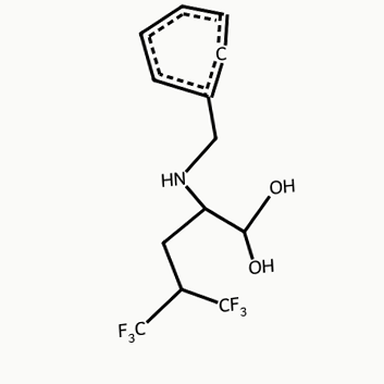 OC(O)C(CC(C(F)(F)F)C(F)(F)F)NCc1ccccc1